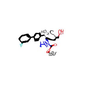 CC(C)(C)OC(=O)N[C@H](Cc1ccc(-c2cccc(F)c2)cc1)C[C@@H](CO)C(=O)O